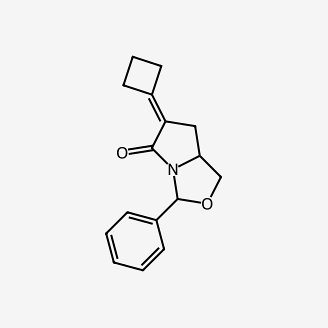 O=C1C(=C2CCC2)CC2COC(c3ccccc3)N12